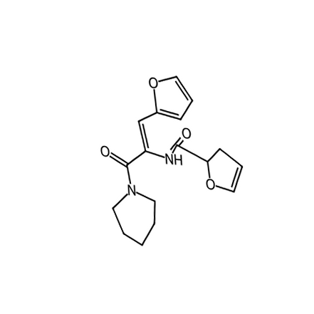 O=C(N/C(=C\c1ccco1)C(=O)N1CCCCC1)C1CC=CO1